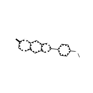 COc1ccc(-c2nc3cc4[nH]c(=O)cnc4cc3[nH]2)cc1